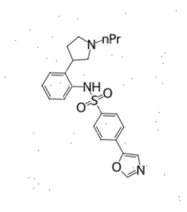 CCCN1CCC(c2ccccc2NS(=O)(=O)c2ccc(-c3cnco3)cc2)C1